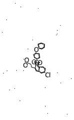 COC(=O)CCc1cc2cc(Cl)ccc2n1S(=O)(=O)c1ccc(Oc2ccccc2)cc1